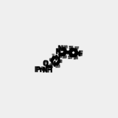 CC(C)NC(=O)CN1CCN(c2cc(-c3ccc(F)cc3)cnn2)CC1